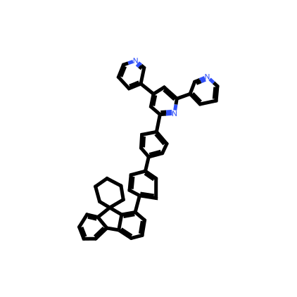 c1cncc(-c2cc(-c3ccc(-c4ccc(-c5cccc6c5C5(CCCCC5)c5ccccc5-6)cc4)cc3)nc(-c3cccnc3)c2)c1